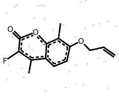 C=CCOc1ccc2c(C)c(F)c(=O)oc2c1C